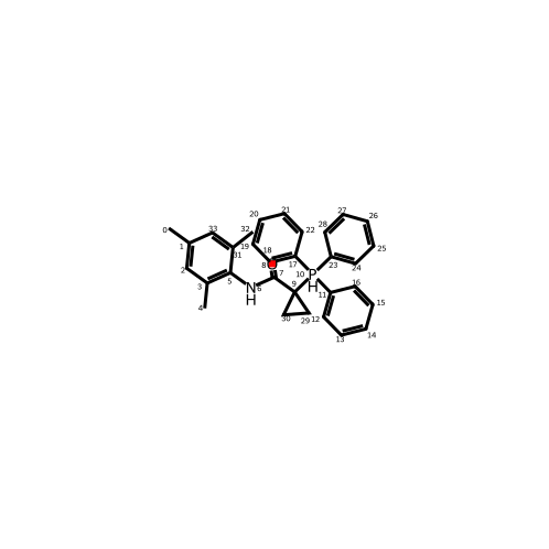 Cc1cc(C)c(NC(=O)C2([PH](c3ccccc3)(c3ccccc3)c3ccccc3)CC2)c(C)c1